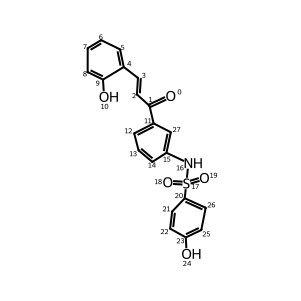 O=C(/C=C/c1ccccc1O)c1cccc(NS(=O)(=O)c2ccc(O)cc2)c1